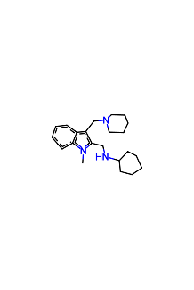 Cn1c(CNC2CCCCC2)c(CN2CCCCC2)c2ccccc21